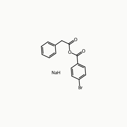 O=C(Cc1ccccc1)OC(=O)c1ccc(Br)cc1.[NaH]